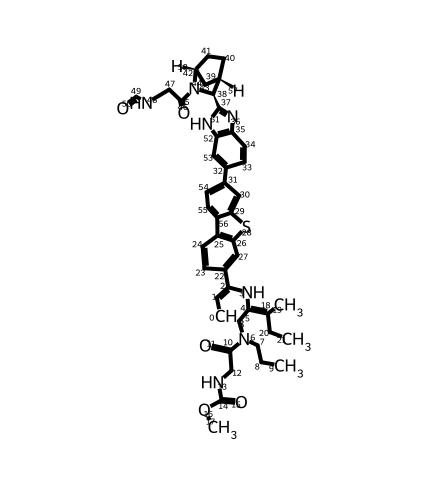 C/C=C(\N/C(CN(CCC)C(=O)CNC(=O)OC)=C(\C)CC)c1ccc2c(c1)sc1cc(-c3ccc4nc([C@@H]5[C@H]6CC[C@H](C6)N5C(=O)CNC=O)[nH]c4c3)ccc12